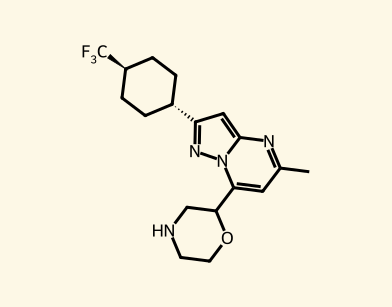 Cc1cc(C2CNCCO2)n2nc([C@H]3CC[C@H](C(F)(F)F)CC3)cc2n1